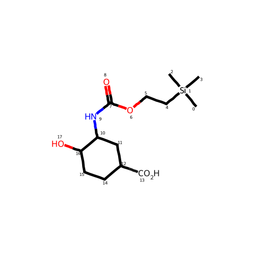 C[Si](C)(C)CCOC(=O)NC1CC(C(=O)O)CCC1O